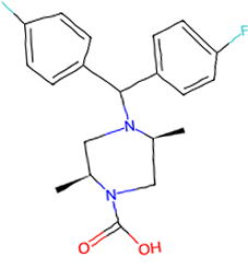 C[C@H]1CN(C(c2ccc(F)cc2)c2ccc(F)cc2)[C@@H](C)CN1C(=O)O